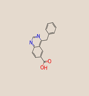 O=C(O)c1ccc2ncnc(Cc3ccccc3)c2c1